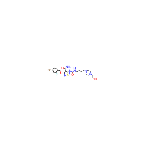 NC(=O)c1c(OCc2ccc(Br)cc2F)nsc1NC(=O)NCCCCN1CCN(CCO)CC1